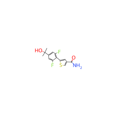 CC(C)(O)c1cc(F)c(-c2cc(C(N)=O)cs2)c(F)c1